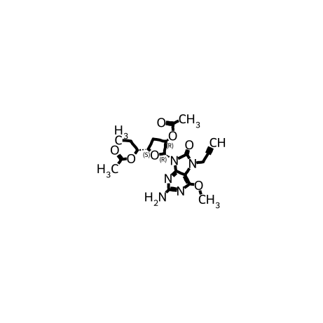 C#CCn1c(=O)n([C@@H]2O[C@H](C(CC)OC(C)=O)C[C@H]2OC(C)=O)c2nc(N)nc(OC)c21